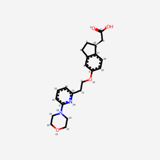 O=C(O)C[C@@H]1CCc2cc(OCCc3cccc(N4CCOCC4)n3)ccc21